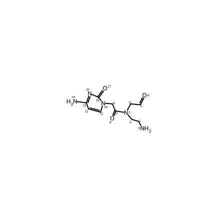 NCCN(CC=O)C(=O)Cn1ccc(N)nc1=O